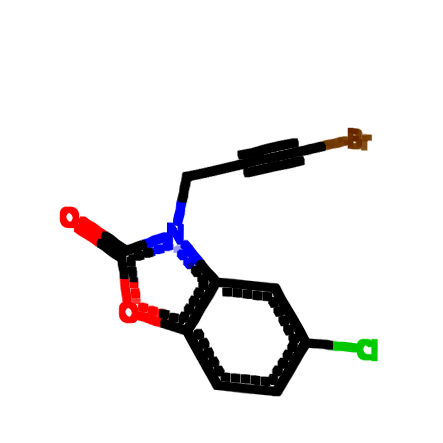 O=c1oc2ccc(Cl)cc2n1CC#CBr